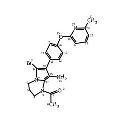 CC(=O)N1CCCn2c(Br)c(-c3ccc(Oc4cccc(C)n4)cc3)c(N)c21